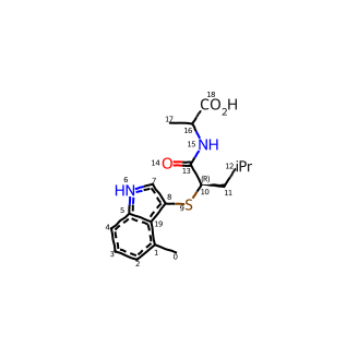 Cc1cccc2[nH]cc(S[C@H](CC(C)C)C(=O)NC(C)C(=O)O)c12